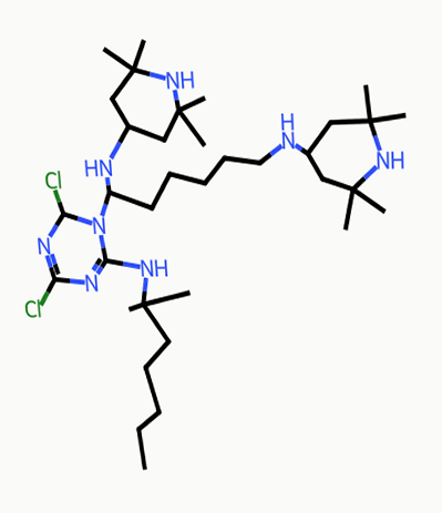 CCCCCC(C)(C)NC1=NC(Cl)=NC(Cl)N1C(CCCCCNC1CC(C)(C)NC(C)(C)C1)NC1CC(C)(C)NC(C)(C)C1